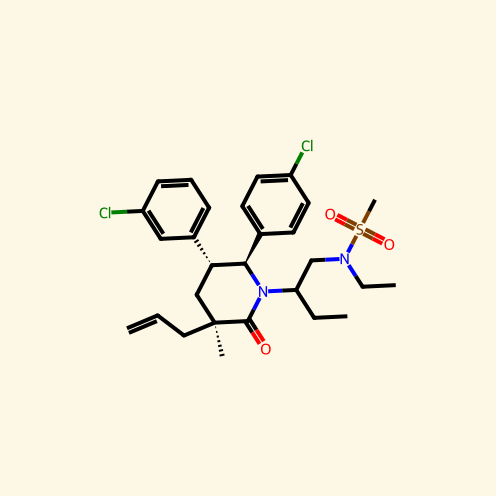 C=CC[C@@]1(C)C[C@H](c2cccc(Cl)c2)[C@@H](c2ccc(Cl)cc2)N(C(CC)CN(CC)S(C)(=O)=O)C1=O